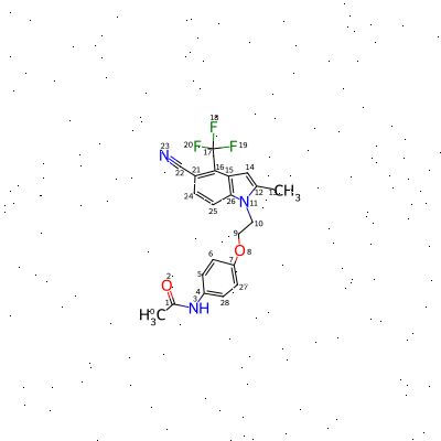 CC(=O)Nc1ccc(OCCn2c(C)cc3c(C(F)(F)F)c(C#N)ccc32)cc1